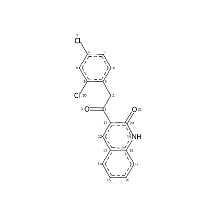 O=C(Cc1ccc(Cl)cc1Cl)c1cc2ccccc2[nH]c1=O